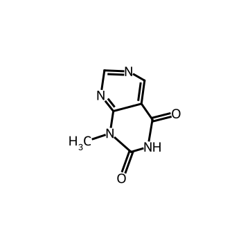 Cn1c(=O)[nH]c(=O)c2cncnc21